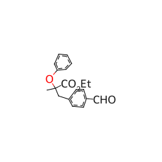 CCOC(=O)C(C)(Cc1ccc(C=O)cc1)Oc1ccccc1